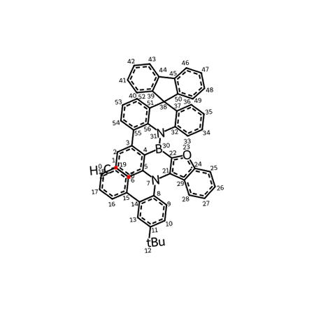 Cc1cc2c3c(c1)N(c1ccc(C(C)(C)C)cc1-c1ccccc1)c1c(oc4ccccc14)B3N1c3ccccc3C3(c4ccccc4-c4ccccc43)c3cccc-2c31